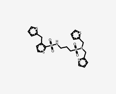 O=S(=O)(NCCCS(=O)(=O)N(Cc1cccs1)Cc1cccs1)c1sccc1Cc1cccs1